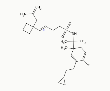 C=C(N)CC1(/C=C/CCS(=O)(=O)NC(C)(C)C2(C)C=C(CCC3CC3)C(F)=CC2)CCC1